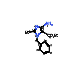 CCOC(=O)c1c(N)nc(CC)n1Cc1ccccc1